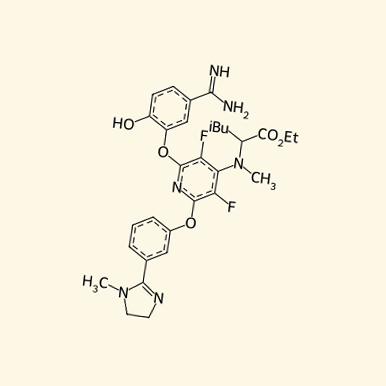 CCOC(=O)C(C(C)CC)N(C)c1c(F)c(Oc2cccc(C3=NCCN3C)c2)nc(Oc2cc(C(=N)N)ccc2O)c1F